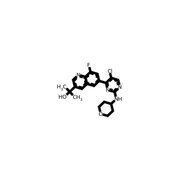 CC(C)(O)c1cnc2c(F)cc(-c3nc(NC4CCOCC4)ncc3Cl)cc2c1